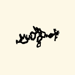 Cc1nc(N2CCC(c3nnc4n3-c3ccc(Cl)cc3CN(C35CC(C(F)(F)F)(C3)C5)C4)CC2)ccc1F